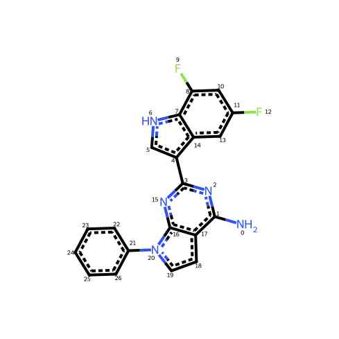 Nc1nc(-c2c[nH]c3c(F)cc(F)cc23)nc2c1ccn2-c1ccccc1